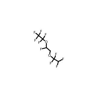 FC(COC(F)(F)C(F)F)OC(F)(F)C(F)(F)F